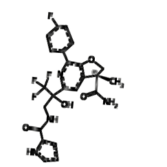 C[C@]1(C(N)=O)COc2c1cc(C(O)(CNC(=O)c1ccc[nH]1)C(F)(F)F)nc2-c1ccc(F)cc1